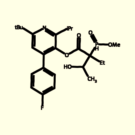 CCC(C(=O)Oc1c(-c2ccc(F)cc2)cc(C(C)(C)C)nc1C(C)C)(C(C)O)[PH](=O)OC